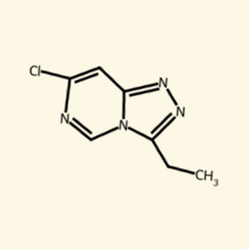 CCc1nnc2cc(Cl)ncn12